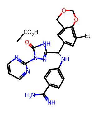 CC(=O)O.CCc1cc([C@H](Nc2ccc(C(=N)N)cc2)c2nn(-c3ncccn3)c(=O)[nH]2)cc2c1OCOC2